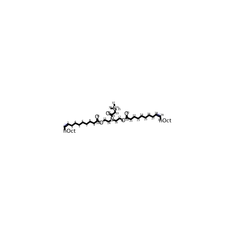 CCCCCCCC/C=C\CCCCCCCC(=O)OCCN(CCOC(=O)CCCCCCC/C=C\CCCCCCCC)C(=O)C[N+](C)(C)C